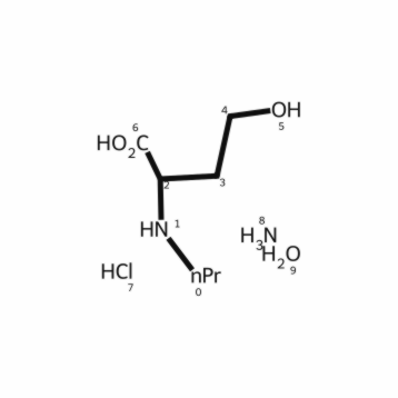 CCCNC(CCO)C(=O)O.Cl.N.O